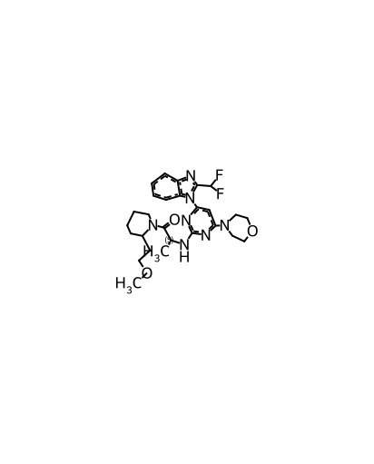 COCCC1CCCCN1C(=O)[C@H](C)Nc1nc(N2CCOCC2)cc(-n2c(C(F)F)nc3ccccc32)n1